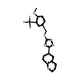 COc1ccc(CSc2nnc(-c3ccc4ncccc4c3)o2)cc1C(F)(F)F